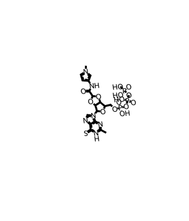 Cc1nc2c(ncn2C2OC(COP(=O)(O)OP(=O)(O)OP(=O)(O)O)C3OC(C(=O)Nc4ccn(C)c4)OC32)c(=S)[nH]1